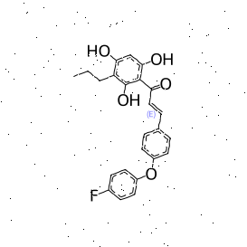 CCCc1c(O)cc(O)c(C(=O)/C=C/c2ccc(Oc3ccc(F)cc3)cc2)c1O